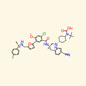 COc1cc(Cl)c(C(=O)N[C@@H](CN[C@H]2CC[C@H](N(C(=O)O)C(C)(C)C)CC2)Cc2ccc(C#N)cc2)cc1-c1ccc(CN[C@H](C)c2ccc(C)cc2)o1